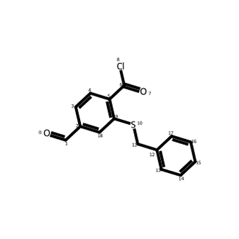 O=Cc1ccc(C(=O)Cl)c(SCc2ccccc2)c1